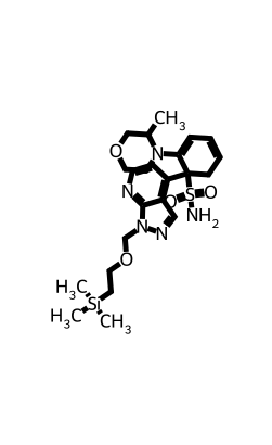 CC1COCCN1C1=CC=CCC1(c1ccnc2c1cnn2COCC[Si](C)(C)C)S(N)(=O)=O